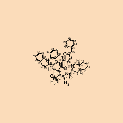 CC(C)(C)NC(=O)[C@@H]1C[C@@H]2CCCC[C@@H]2CN1C[C@@H](OC(=O)Cc1ccccn1)[C@H](Cc1ccccc1)NC(=O)[C@H](CC(N)=O)NC(=O)c1ccc2ccccc2n1